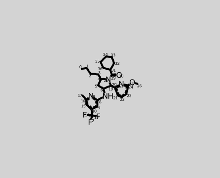 CCCCC1CC(Nc2cc(C(F)(F)F)cc(C)n2)C(c2cccc(OC)n2)N1C(=O)C1CCCCC1